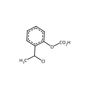 CC(Cl)c1ccccc1OC(=O)O